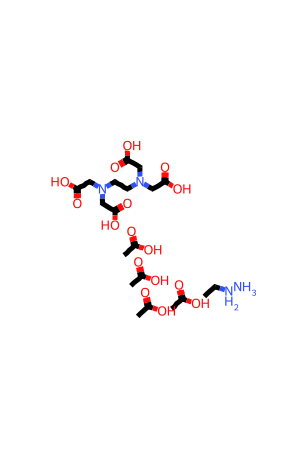 CC(=O)O.CC(=O)O.CC(=O)O.CC(=O)O.CCN.N.O=C(O)CN(CCN(CC(=O)O)CC(=O)O)CC(=O)O